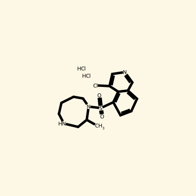 CC1CNCCCCN1S(=O)(=O)c1cccc2cncc(Cl)c12.Cl.Cl